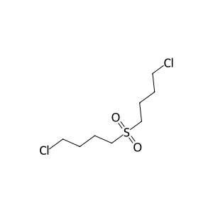 O=S(=O)(CCCCCl)CCCCCl